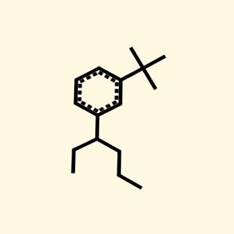 CCCC(CC)c1cccc(C(C)(C)C)c1